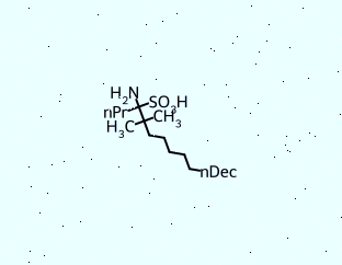 CCCCCCCCCCCCCCCC(C)(C)C(N)(CCC)S(=O)(=O)O